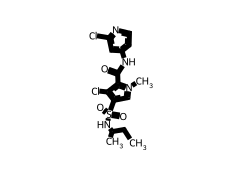 CCC(C)NS(=O)(=O)c1cn(C)c(C(=O)Nc2ccnc(Cl)c2)c1Cl